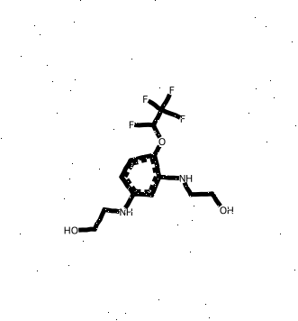 OCCNc1ccc(OC(F)C(F)(F)F)c(NCCO)c1